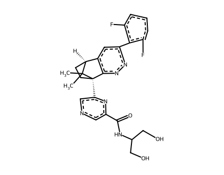 CC1(C)[C@H]2CC[C@]1(c1cncc(C(=O)NC(CO)CO)n1)c1nnc(-c3c(F)cccc3F)cc12